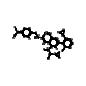 Cc1nc(-c2c(C)ncnc2C2CC2)nc(N(C)C(C)C2CC2)c1/N=C(\C=O)NCc1ccc([S+](C)[O-])cn1